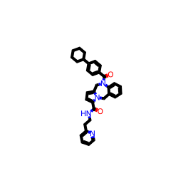 O=C(NCCc1ccccn1)c1ccc2n1Cc1ccccc1N(C(=O)c1ccc(C3CCCCC3)cc1)C2